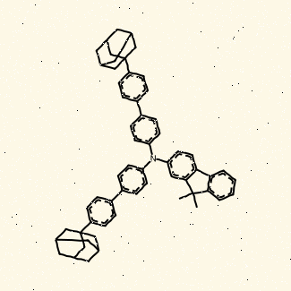 CC1(C)c2ccccc2-c2ccc(N(c3ccc(-c4ccc(C56CC7CC(CC(C7)C5)C6)cc4)cc3)c3ccc(-c4ccc(C56CC7CC(CC(C7)C5)C6)cc4)cc3)cc21